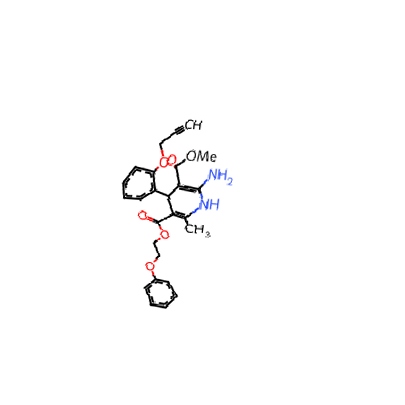 C#CCOc1ccccc1C1C(C(=O)OCCOc2ccccc2)=C(C)NC(N)=C1C(=O)OC